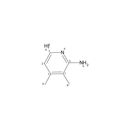 Cc1ccnc(N)c1C.[Hf]